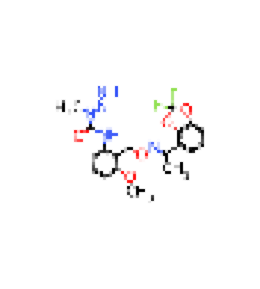 COc1cccc(NC(=O)N(C)N=N)c1CON=C(C)c1cccc2c1OC(F)(F)O2